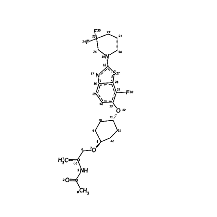 CC(=O)N[C@@H](C)CO[C@H]1CC[C@H](Oc2ccc3nc(N4CCCC(F)(F)C4)sc3c2F)CC1